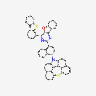 c1ccc2c(c1)oc1c(-c3cccc4c3sc3ccccc34)nc(-c3ccc(-n4c5ccc6cccc7sc8cccc9ccc4c(c98)c5c67)c4ccccc34)nc12